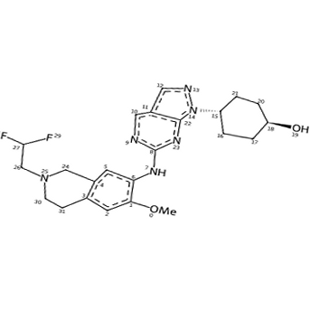 COc1cc2c(cc1Nc1ncc3cnn([C@H]4CC[C@H](O)CC4)c3n1)CN(CC(F)F)CC2